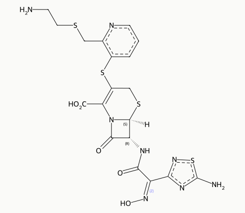 NCCSCc1ncccc1SC1=C(C(=O)O)N2C(=O)[C@@H](NC(=O)/C(=N\O)c3nsc(N)n3)[C@@H]2SC1